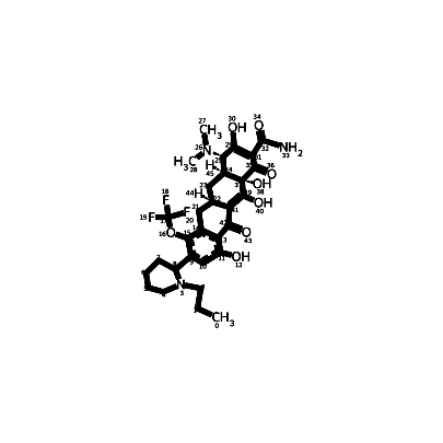 CCCN1CCCCC1c1cc(O)c2c(c1OC(F)(F)F)C[C@H]1C[C@H]3[C@H](N(C)C)C(O)=C(C(N)=O)C(=O)[C@@]3(O)C(O)=C1C2=O